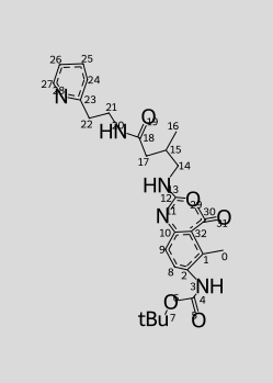 Cc1c(NC(=O)OC(C)(C)C)ccc2nc(NCC(C)CC(=O)NCCc3ccccn3)oc(=O)c12